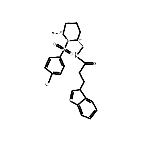 C[C@@H]1CCC[C@H](CNC(=O)CCC2C=Nc3ccccc32)N1S(=O)(=O)c1ccc(Cl)cc1